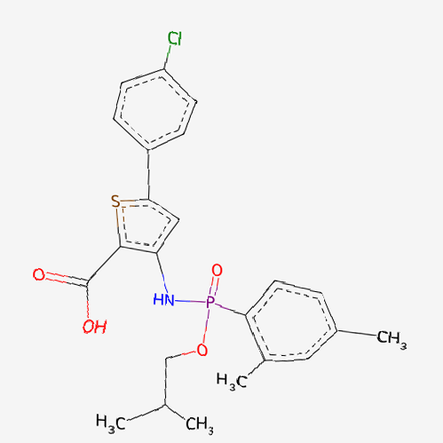 Cc1ccc(P(=O)(Nc2cc(-c3ccc(Cl)cc3)sc2C(=O)O)OCC(C)C)c(C)c1